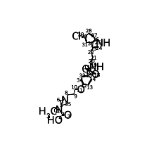 CN(C(=O)O)C1CN(CCCOc2ccc(S(=O)(=O)NCCCc3c[nH]c4ccc(Cl)cc34)cc2)C1